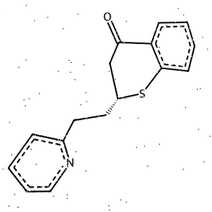 O=C1C[C@@H](CCc2ccccn2)Sc2ccccc21